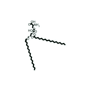 CCCCCCCCCCCCCCCC/C=C\OC[C@H](COP(=O)(O)OC[C@H](N)C(=O)O)OC(=O)CCCCCCCCCCCCCCCCC